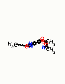 CCCCCCCCOc1cnc(-c2ccc(-c3ccc(C(=O)OC[C@H](C)OCC(C#N)CC)cc3)cc2)nc1